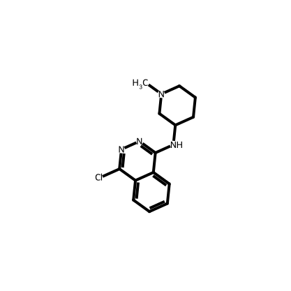 CN1CCCC(Nc2nnc(Cl)c3ccccc23)C1